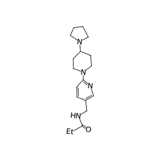 CCC(=O)NCc1ccc(N2CCC(N3CCCC3)CC2)nc1